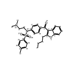 CCCCc1oc2ccccc2c1C(=O)c1ccc(N(CCN(C)C)S(=O)(=O)c2ccc(C)cc2)cc1